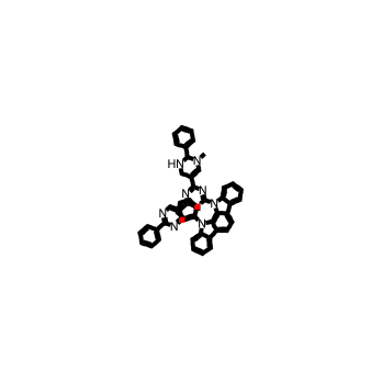 CN1C=C(c2nc(-c3cnc(-c4ccccc4)nc3)nc(-n3c4ccccc4c4ccc5c6ccccc6n(-c6ccccc6)c5c43)n2)CNC1c1ccccc1